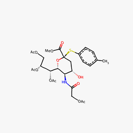 COC(=O)[C@]1(Sc2ccc(C)cc2)C[C@H](O)[C@@H](NC(=O)COC(C)=O)[C@H]([C@H](OC(C)=O)[C@@H](COC(C)=O)OC(C)=O)O1